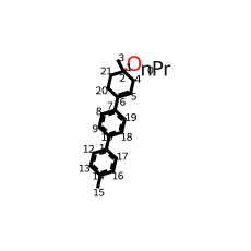 CCCOC1(C)CC=C(c2ccc(-c3ccc(C)cc3)cc2)CC1